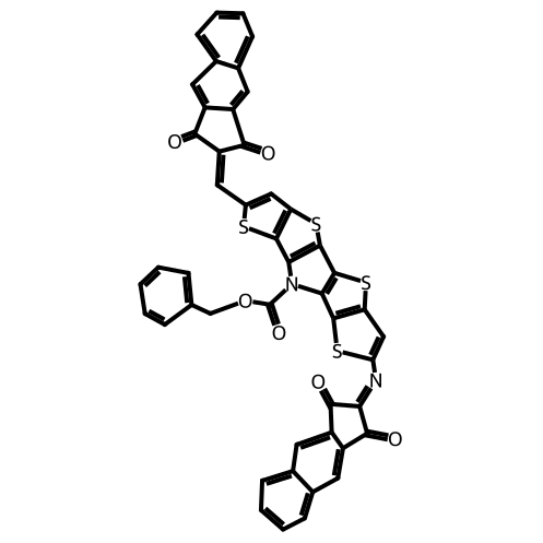 O=C1C(=Cc2cc3sc4c5sc6cc(N=c7c(=O)c8cc9ccccc9cc8c7=O)sc6c5n(C(=O)OCc5ccccc5)c4c3s2)C(=O)c2cc3ccccc3cc21